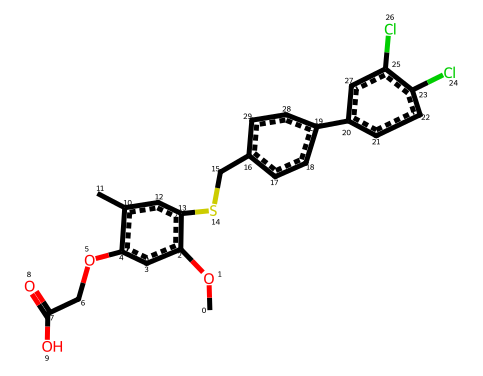 COc1cc(OCC(=O)O)c(C)cc1SCc1ccc(-c2ccc(Cl)c(Cl)c2)cc1